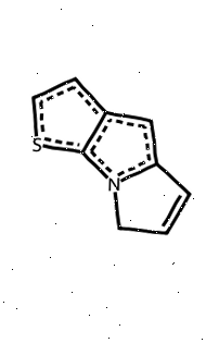 C1=Cc2cc3ccsc3n2C1